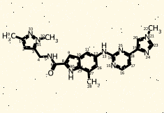 Cc1cc(CNC(=O)c2cc3cc(Nc4nccc(-c5cn(C)cn5)n4)cc(C)c3[nH]2)n(C)n1